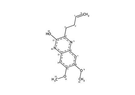 C=CCCc1nc2cc(OC)c(OC)cc2nc1O